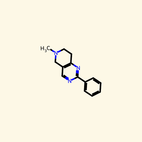 CN1CCc2nc(-c3ccccc3)ncc2C1